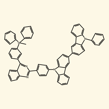 C[Si](c1ccccc1)(c1ccccc1)c1cccc(-c2nc(-c3ccc(-n4c5ccccc5c5cc(-c6ccc7c(c6)c6ccccc6n7-c6ccccc6)ccc54)cc3)nc3ccccc23)c1